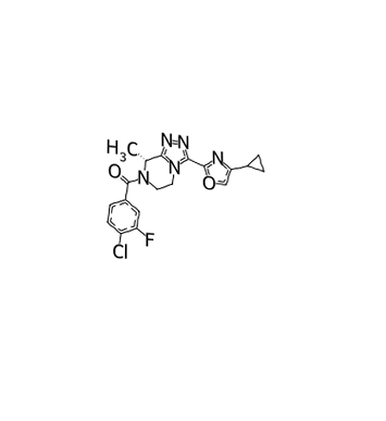 C[C@@H]1c2nnc(-c3nc(C4CC4)co3)n2CCN1C(=O)c1ccc(Cl)c(F)c1